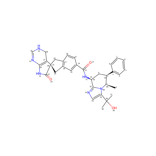 C[C@@H]1[C@H](c2ccccc2)C[C@H](NC(=O)c2ccc3c(c2)C[C@@]2(C3)C(=O)NC3=C2CNC=N3)c2ncc(C(C)(C)O)n21